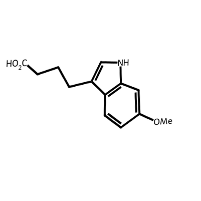 COc1ccc2c(CCCC(=O)O)c[nH]c2c1